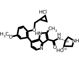 COc1ccc(OCC2CC2)c(-c2ccnc3c(C(=O)N[C@@H]4CNC[C@@H]4O)c(C)[nH]c23)c1.Cl